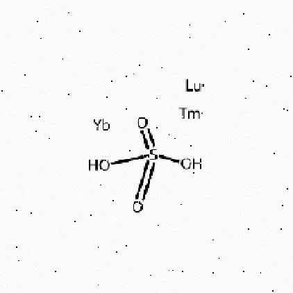 O=S(=O)(O)O.[Lu].[Tm].[Yb]